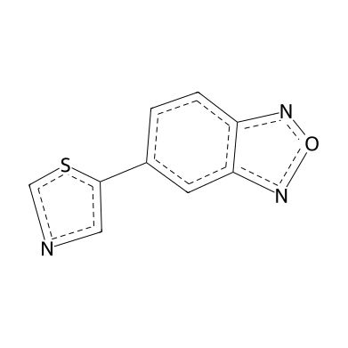 c1ncc(-c2ccc3nonc3c2)s1